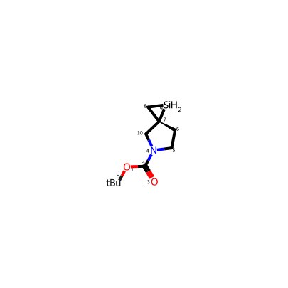 CC(C)(C)OC(=O)N1CC[C@]2(C[SiH2]2)C1